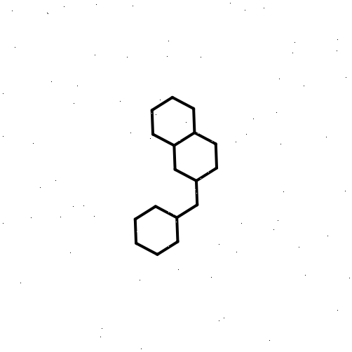 C1CCC(CC2CCC3CCCCC3C2)CC1